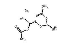 CCCC(OC(N)=O)SSC(CCC)OC(N)=O.[Zn]